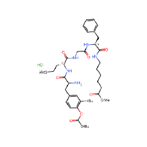 COC(=O)CCCCCNC(=O)[C@H](Cc1ccccc1)NC(=O)CNC(=O)[C@@H](CCSC)NC(=O)C(N)Cc1ccc(OC(=O)OCC(C)C)c(C(C)(C)C)c1.Cl